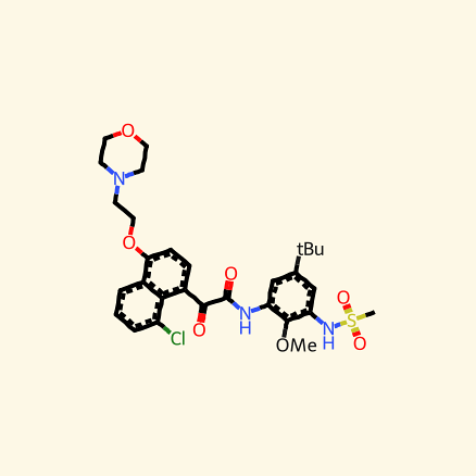 COc1c(NC(=O)C(=O)c2ccc(OCCN3CCOCC3)c3cccc(Cl)c23)cc(C(C)(C)C)cc1NS(C)(=O)=O